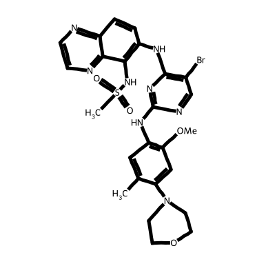 COc1cc(N2CCOCC2)c(C)cc1Nc1ncc(Br)c(Nc2ccc3nccnc3c2NS(C)(=O)=O)n1